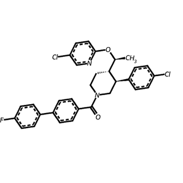 C[C@H](Oc1ccc(Cl)cn1)[C@H]1CCN(C(=O)c2ccc(-c3ccc(F)cc3)cc2)C[C@@H]1c1ccc(Cl)cc1